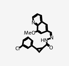 COc1cc(/C=N\NC(=O)C2CC2c2cccc(Cl)c2)cc2cccnc12